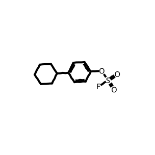 O=S(=O)(F)Oc1ccc(C2CCCCC2)cc1